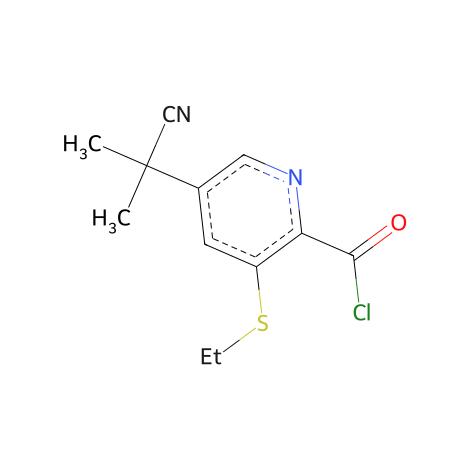 CCSc1cc(C(C)(C)C#N)cnc1C(=O)Cl